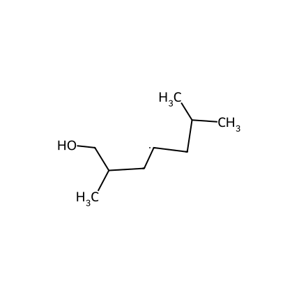 CC(C)C[CH]CC(C)CO